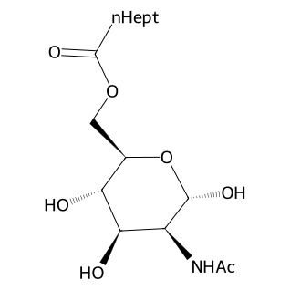 CCCCCCCC(=O)OC[C@H]1O[C@H](O)[C@@H](NC(C)=O)[C@@H](O)[C@@H]1O